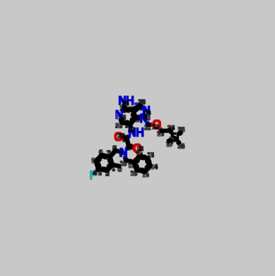 Cc1cc(F)ccc1CN(Cc1ccccc1)C(=O)C(=O)Nc1cnc(N)c2cnn(COCC[Si](C)(C)C)c12